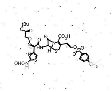 Cc1ccc(S(=O)(=O)O/C=C/C2=C(C(=O)O)N3C(=O)C(NC(=O)/C(=N\OCC(=O)OC(C)(C)C)c4csc(NC=O)n4)[C@H]3SC2)cc1